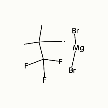 [Br][Mg][Br].[CH2]C(C)(C)C(F)(F)F